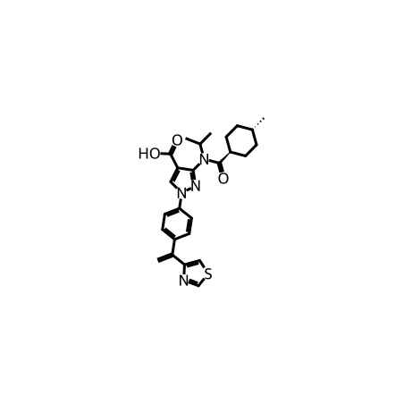 C=C(c1ccc(-n2cc(C(=O)O)c(N(C(=O)[C@H]3CC[C@H](C)CC3)C(C)C)n2)cc1)c1cscn1